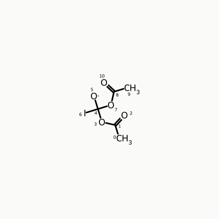 CC(=O)OC([O])(I)OC(C)=O